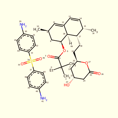 CCC(C)(C)C(=O)O[C@H]1C[C@@H](C)C=C2C=C[C@H](C)[C@H](CC[C@@H]3C[C@@H](O)CC(=O)O3)[C@H]21.Nc1ccc(S(=O)(=O)c2ccc(N)cc2)cc1